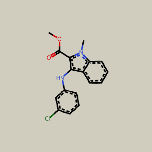 COC(=O)c1c(Nc2cccc(Cl)c2)c2ccccc2n1C